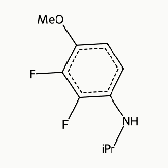 COc1ccc(NC(C)C)c(F)c1F